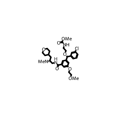 CN[C@H](CNC(=O)c1cc(OCCOC)cc(C(OCCNC(=O)OC)c2cccc(Cl)c2)c1)CC1CCOCC1